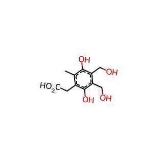 Cc1c(O)c(CO)c(CO)c(O)c1CC(=O)O